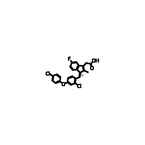 CC1=C(CC(=O)O)c2cc(F)ccc2/C1=C\c1ccc(Oc2ccc(Cl)cc2)cc1Cl